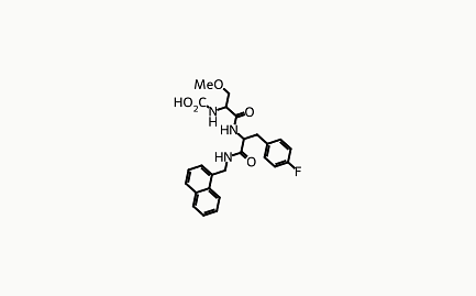 COCC(NC(=O)O)C(=O)NC(Cc1ccc(F)cc1)C(=O)NCc1cccc2ccccc12